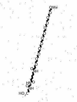 COCCOCCOCCOCCOCCOCCOCCOCCOCCOCCOCCOCCC(=O)NCCCCCC(=O)NCC(=O)NCCC(=O)O